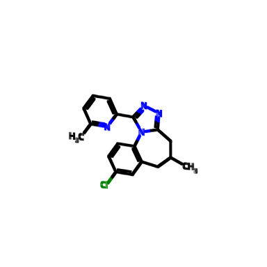 Cc1cccc(-c2nnc3n2-c2ccc(Cl)cc2CC(C)C3)n1